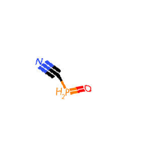 N#C[PH2]=O